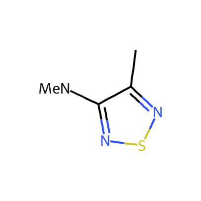 CNc1nsnc1C